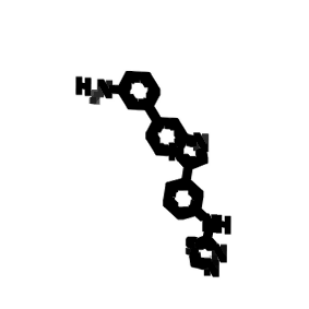 Nc1cccc(-c2ccn3c(-c4cccc(Nc5nncs5)c4)cnc3c2)c1